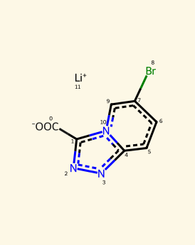 O=C([O-])c1nnc2ccc(Br)cn12.[Li+]